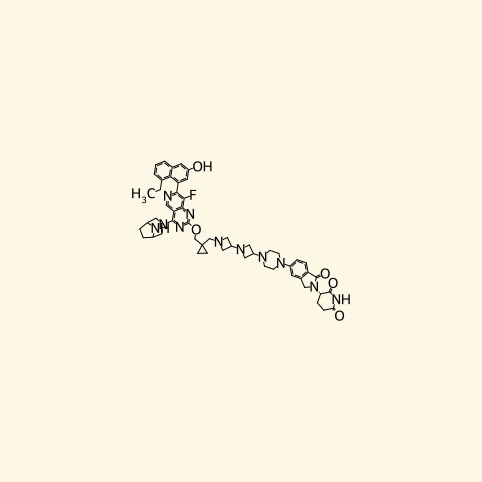 CCc1cccc2cc(O)cc(-c3ncc4c(N5CC6CCC(C5)N6)nc(OCC5(CN6CC(N7CC(N8CCN(c9ccc%10c(c9)CN([C@H]9CCC(=O)NC9=O)C%10=O)CC8)C7)C6)CC5)nc4c3F)c12